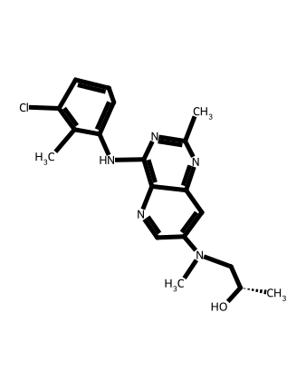 Cc1nc(Nc2cccc(Cl)c2C)c2ncc(N(C)C[C@H](C)O)cc2n1